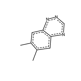 Cc1cc2ncnnc2cc1C